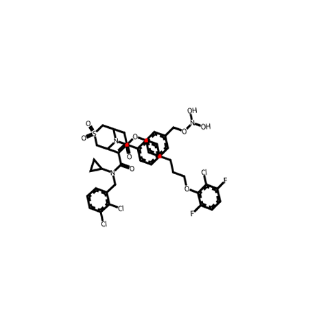 O=C(C1=C(c2ccc(CCCOc3c(F)ccc(F)c3Cl)cc2)CC2CS(=O)(=O)CC1N2C(=O)Oc1cccc(CON(O)O)c1)N(Cc1cccc(Cl)c1Cl)C1CC1